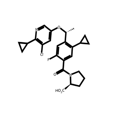 C[C@@H](Oc1cnc(C2CC2)c(Cl)c1)c1cc(F)c(C(=O)N2CCC[C@H]2C(=O)O)cc1C1CC1